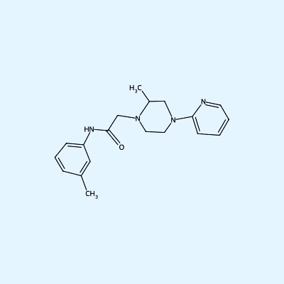 Cc1cccc(NC(=O)CN2CCN(c3ccccn3)CC2C)c1